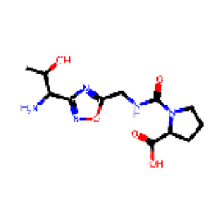 CC(O)C(N)c1noc(CNC(=O)N2CCCC2C(=O)O)n1